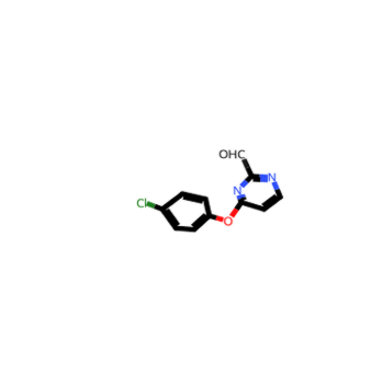 O=Cc1nccc(Oc2ccc(Cl)cc2)n1